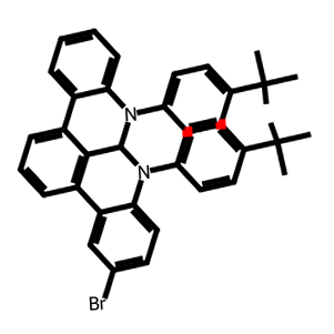 CC(C)(C)c1ccc(N2c3ccccc3-c3cccc4c3C2N(c2ccc(C(C)(C)C)cc2)c2ccc(Br)cc2-4)cc1